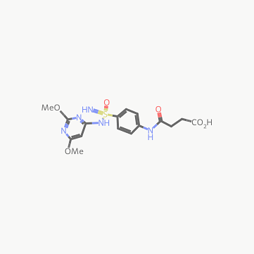 COc1cc(NS(=N)(=O)c2ccc(NC(=O)CCC(=O)O)cc2)nc(OC)n1